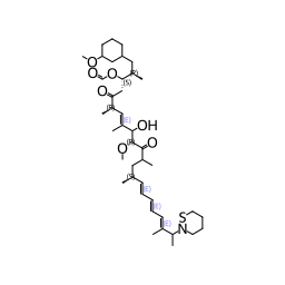 COC1CCCC(C[C@@H](C)[C@H](CC(=O)[C@H](C)/C=C(\C)C(O)[C@@H](OC)C(=O)C(C)C[C@H](C)/C=C/C=C/C=C(\C)C(C)N2CCCCS2)OC=O)C1